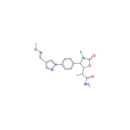 CON=Cc1cnn(-c2ccc(C3C(C(C)C(N)=O)OC(=O)N3F)cc2)c1